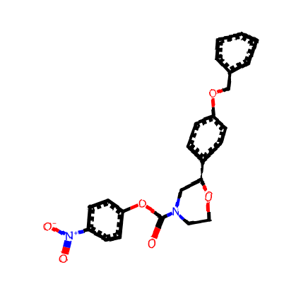 O=C(Oc1ccc([N+](=O)[O-])cc1)N1CCO[C@H](c2ccc(OCc3ccccc3)cc2)C1